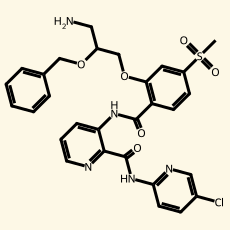 CS(=O)(=O)c1ccc(C(=O)Nc2cccnc2C(=O)Nc2ccc(Cl)cn2)c(OCC(CN)OCc2ccccc2)c1